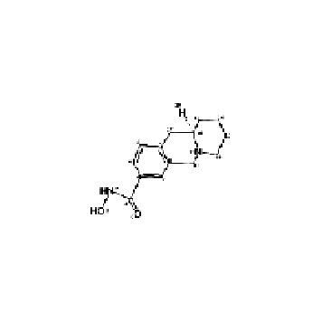 O=C(NO)c1ccc2c(c1)CN1CCCC[C@@H]1C2